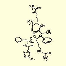 CC(C(=O)NC(CCCNC(=N)N)C(N)=O)N(C(=O)C(CCCNC(=N)N)NC(=O)C(Cc1ccccc1)NC(=O)n1cc(N)nn1)c1ccccc1